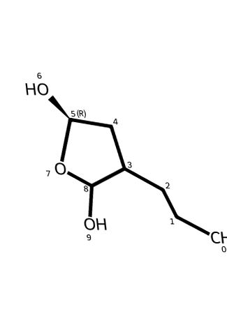 CCCC1C[C@H](O)OC1O